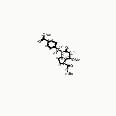 COC(=O)c1ccc(S(=O)(=O)NC(=O)[C@H](C)[C@@H](OC)[C@@H]2CCCN2C(=O)OC(C)(C)C)cc1